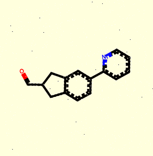 O=CC1Cc2ccc(-c3ccccn3)cc2C1